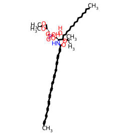 CC#CC#CC#CC#CC#CC#CC#CC#CC#CC#CC#CC#CC(=O)N[C@@H](COP(=O)(O)OC[C@H]1COC(C)(C)O1)[C@H](OC(C)C)[C@H](O)CCCCCCCCCCCCCC